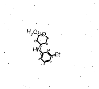 CCc1cccc(NC2CCO[C@@H](C)C2)c1